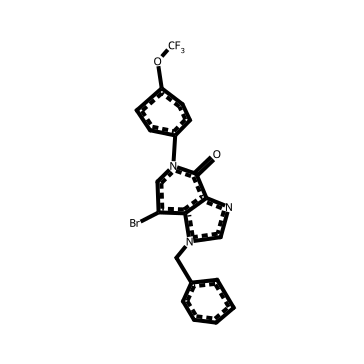 O=c1c2ncn(Cc3ccccc3)c2c(Br)cn1-c1ccc(OC(F)(F)F)cc1